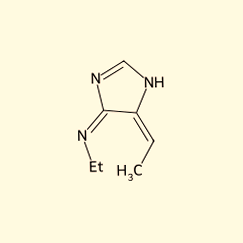 C/C=C1/NC=N/C1=N/CC